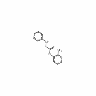 O=C(CNc1ccccc1)Nc1ccccc1C(F)(F)F